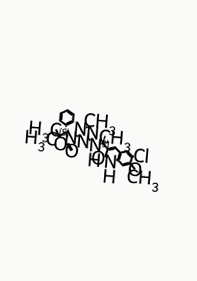 COc1cc2[nH]c(=O)c([C@H](C)Nc3nc(C)nc(N4C(=O)OC(C)(C)[C@@H]4c4ccccc4)n3)cc2cc1Cl